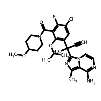 C#CC(C)(c1cc(Cl)c(F)c(C(=O)N2CCC(OC)CC2)c1OC(C)C)c1nc(C)c2c(N)nccn12